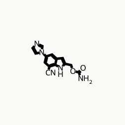 N#Cc1cc(-n2ccnc2)cc2cc(COC(N)=O)[nH]c12